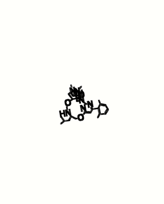 CNN(C)CC1OCN[C@H](CC(C)C)COc2cc(-c3c(C)cccc3C)nc(n2)NS1(=O)=O